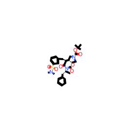 CN(C)S(=O)(=O)c1cccc(C[C@H](C(=O)N2C(=O)OC[C@@H]2Cc2ccccc2)[C@H]2CCN(C(=O)OC(C)(C)C)C2)c1